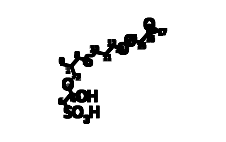 CC(COC(O)CS(=O)(=O)O)CSCCCOOCC1CO1